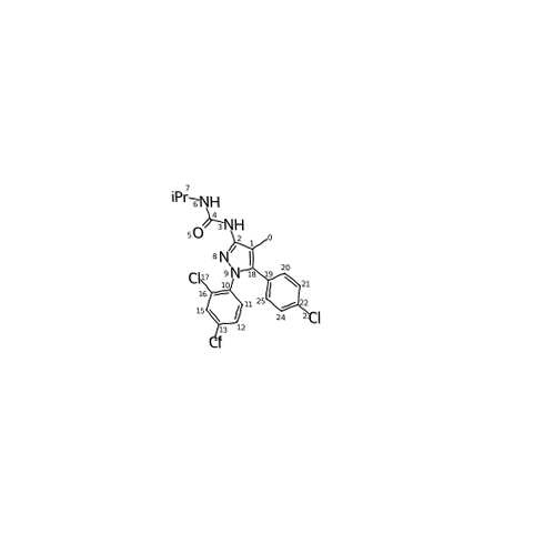 Cc1c(NC(=O)NC(C)C)nn(-c2ccc(Cl)cc2Cl)c1-c1ccc(Cl)cc1